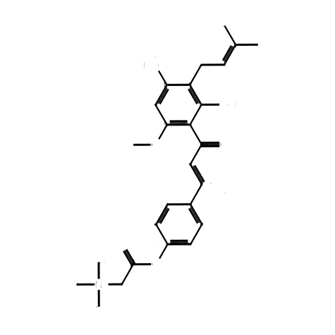 COc1cc(O)c(CC=C(C)C)c(O)c1C(=O)/C=C/c1ccc(OC(=O)C[N+](C)(C)C)cc1.[Cl-]